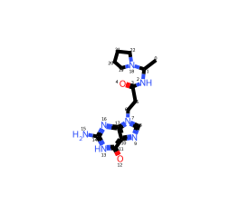 CC(NC(=O)CCn1cnc2c(=O)[nH]c(N)nc21)N1CCCC1